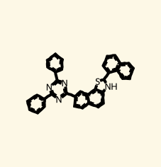 c1ccc(-c2nc(-c3ccccc3)nc(-c3ccc4ccc5c(c4c3)SC(c3cccc4ccccc34)N5)n2)cc1